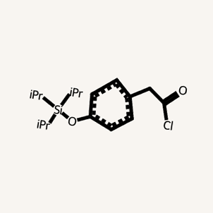 CC(C)[Si](Oc1ccc(CC(=O)Cl)cc1)(C(C)C)C(C)C